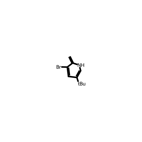 C=C1NC=C(C(C)(C)C)C=C1Br